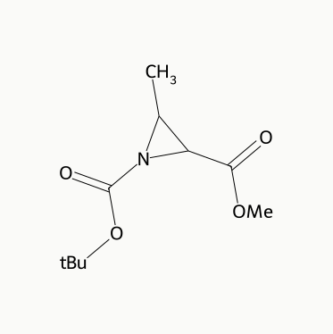 COC(=O)C1C(C)N1C(=O)OC(C)(C)C